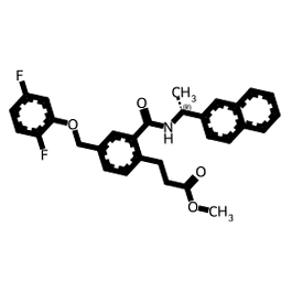 COC(=O)CCc1ccc(COc2cc(F)ccc2F)cc1C(=O)N[C@H](C)c1ccc2ccccc2c1